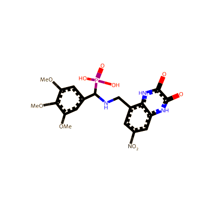 COc1cc(C(NCc2cc([N+](=O)[O-])cc3[nH]c(=O)c(=O)[nH]c23)P(=O)(O)O)cc(OC)c1OC